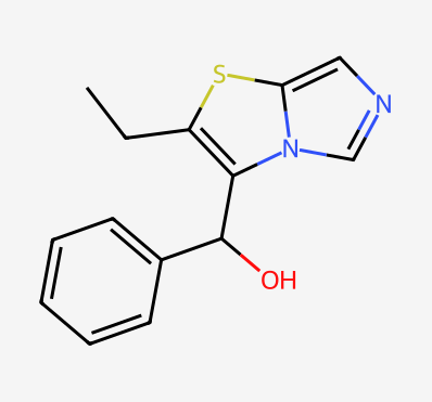 CCc1sc2cncn2c1C(O)c1ccccc1